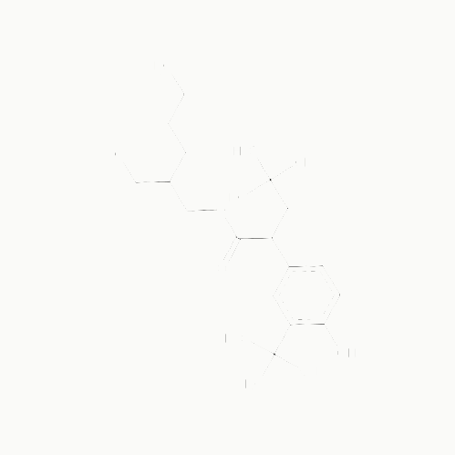 CCCCC(CC)COC(=O)C(CC(C)(C)C)c1ccc(O)c(C(C)(C)C)c1